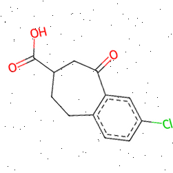 O=C1CC(C(=O)O)CCc2ccc(Cl)cc21